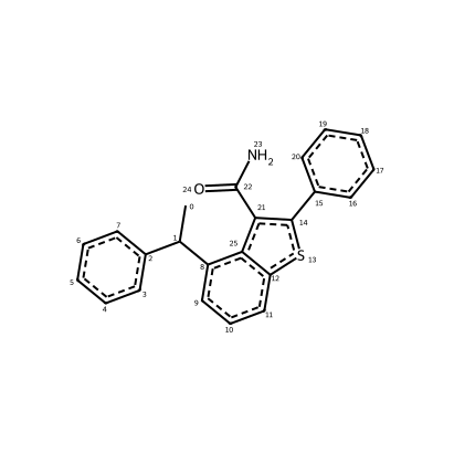 CC(c1ccccc1)c1cccc2sc(-c3ccccc3)c(C(N)=O)c12